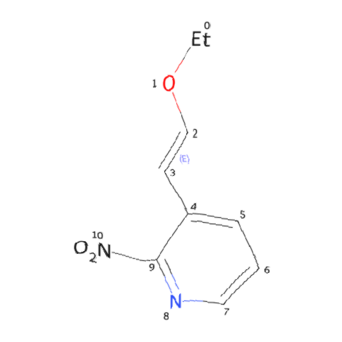 CCO/C=C/c1cccnc1[N+](=O)[O-]